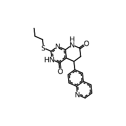 CCCSc1nc2c(c(=O)[nH]1)C(c1ccc3ncccc3c1)CC(=O)N2